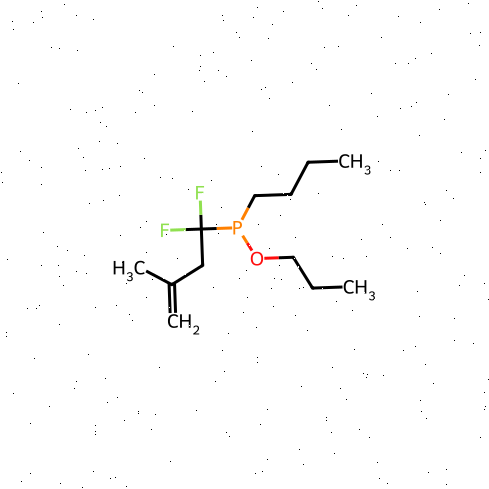 C=C(C)CC(F)(F)P(CCCC)OCCC